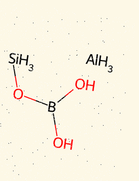 OB(O)O[SiH3].[AlH3]